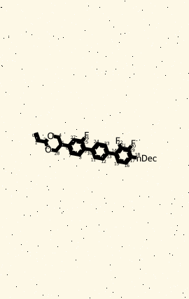 C=CC1OCC(c2ccc(-c3ccc(-c4ccc(CCCCCCCCCC)c(F)c4F)cc3)c(F)c2)CO1